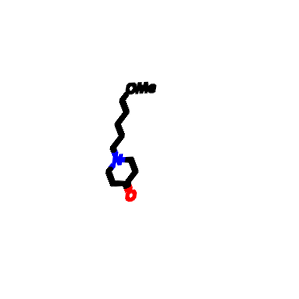 COCCCCCN1CCC(=O)CC1